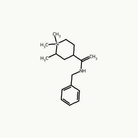 C=C(NCc1ccccc1)C1CC[Si](C)(C)C(C)C1